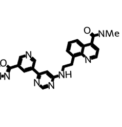 CNC(=O)c1ccnc2c(CCNc3cc(-c4cncc(-c5nnco5)c4)ncn3)cccc12